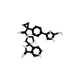 Cc1nc(-c2ccc(C3(C(=O)N4CC[C@@]5(C4)OC(=O)c4cnccc45)CC3)cc2)cs1